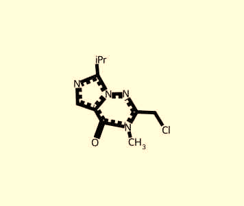 CC(C)c1ncc2c(=O)n(C)c(CCl)nn12